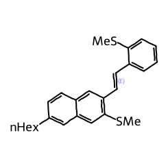 CCCCCCc1ccc2cc(/C=C/c3ccccc3SC)c(SC)cc2c1